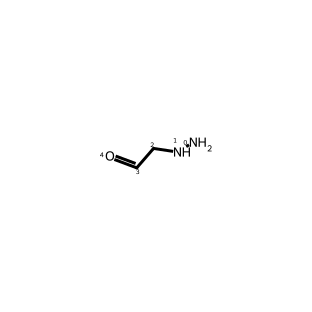 NNCC=O